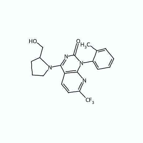 Cc1ccccc1-n1c(=O)nc(N2CCCC2CO)c2ccc(C(F)(F)F)nc21